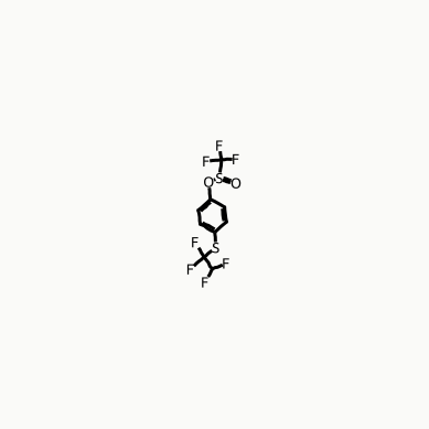 O=S(Oc1ccc(SC(F)(F)C(F)F)cc1)C(F)(F)F